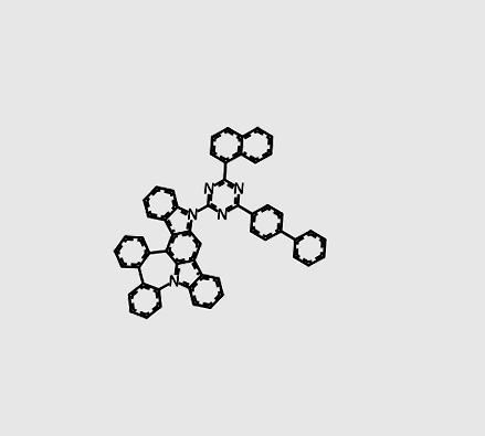 c1ccc(-c2ccc(-c3nc(-c4cccc5ccccc45)nc(-n4c5ccccc5c5c6c7c(cc54)c4ccccc4n7-c4ccccc4-c4ccccc4-6)n3)cc2)cc1